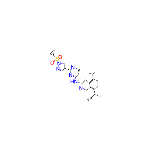 C#CC([CH2])c1ccc(C(C)C)c2cc(Nc3ccnc(-c4cnn(S(=O)(=O)C5CC5)c4)n3)ncc12